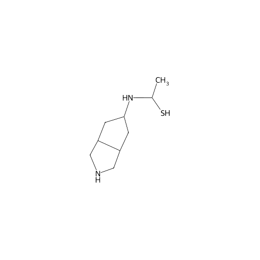 CC(S)NC1CC2CNCC2C1